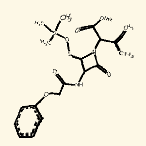 C=C(C)C(C(=O)OC)N1C(=O)C(NC(=O)COc2ccccc2)C1SO[Si](C)(C)C